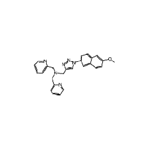 COc1ccc2cc(-n3cc(CN(Cc4ccccn4)Cc4ccccn4)nn3)ccc2c1